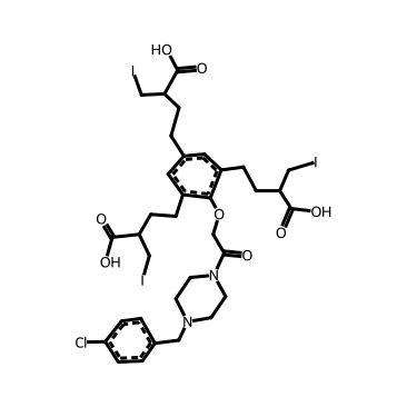 O=C(O)C(CI)CCc1cc(CCC(CI)C(=O)O)c(OCC(=O)N2CCN(Cc3ccc(Cl)cc3)CC2)c(CCC(CI)C(=O)O)c1